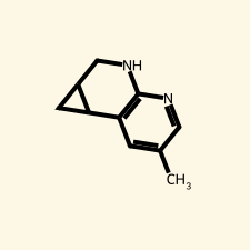 Cc1cnc2c(c1)C1CC1CN2